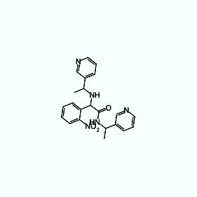 CC(NC(=O)C(NC(C)c1cccnc1)c1ccccc1[N+](=O)[O-])c1cccnc1